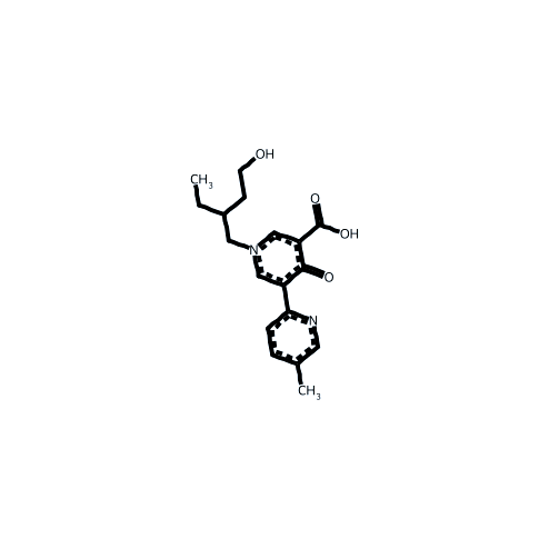 CCC(CCO)Cn1cc(C(=O)O)c(=O)c(-c2ccc(C)cn2)c1